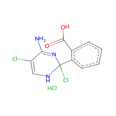 Cl.NC1=NC(Cl)(c2ccccc2C(=O)O)NC=C1Cl